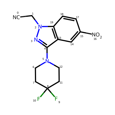 N#CCn1nc(N2CCC(F)(F)CC2)c2cc([N+](=O)[O-])ccc21